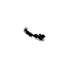 CCCc1ccc(C)cc1N1C(=O)CSC1=NC(=O)Nc1ccc(CCc2ncn(-c3ccc(OC(F)(F)F)cc3)n2)cc1F